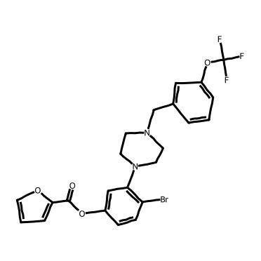 O=C(Oc1ccc(Br)c(N2CCN(Cc3cccc(OC(F)(F)F)c3)CC2)c1)c1ccco1